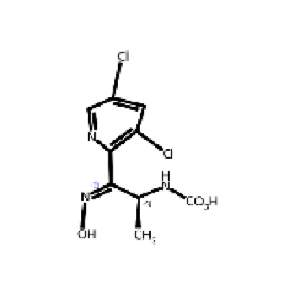 C[C@H](NC(=O)O)/C(=N\O)c1ncc(Cl)cc1Cl